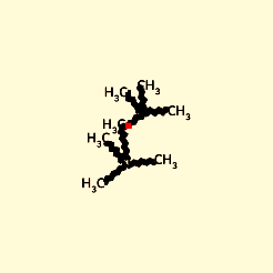 CCCCCCCC[N+](CCCCCCCC)(CCCCCCCC)CCCCCCCCC(C)CCCCC[N+](CCCCCCC)(CCCCCCC)CCCCCCC